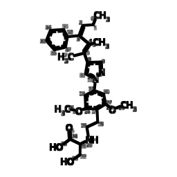 CC/C=C(\C(C)=C(/C)c1cnn(-c2cc(OC)c(CCNC(CO)C(=O)O)c(OC)c2)c1)c1ccccc1